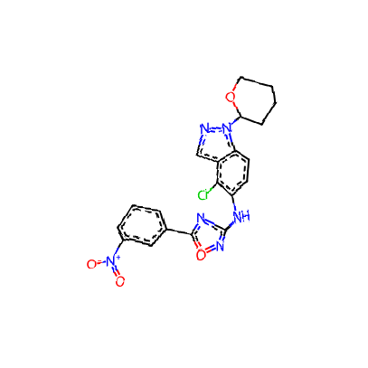 O=[N+]([O-])c1cccc(-c2nc(Nc3ccc4c(cnn4C4CCCCO4)c3Cl)no2)c1